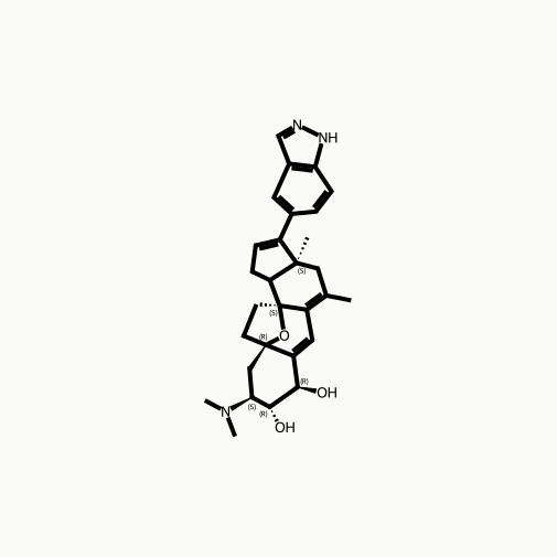 CC1=C2C=C3[C@@H](O)[C@H](O)[C@@H](N(C)C)C[C@]34CC[C@]2(O4)C2CC=C(c3ccc4[nH]ncc4c3)[C@@]2(C)C1